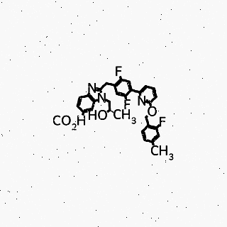 Cc1ccc(COc2cccc(-c3cc(F)c(Cc4nc5ccc(C(=O)O)cc5n4C[C@H](C)O)cc3F)n2)c(F)c1